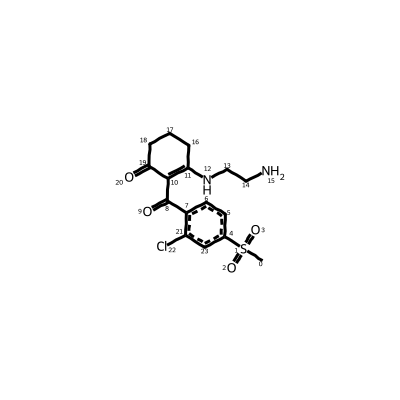 CS(=O)(=O)c1ccc(C(=O)C2=C(NCCN)CCCC2=O)c(Cl)c1